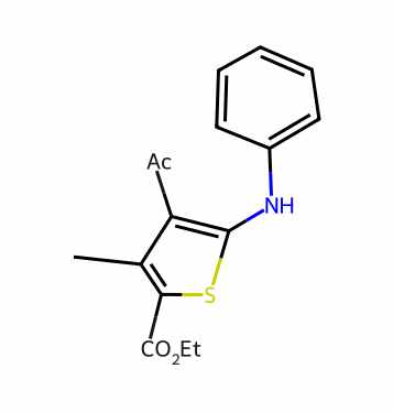 CCOC(=O)c1sc(Nc2ccccc2)c(C(C)=O)c1C